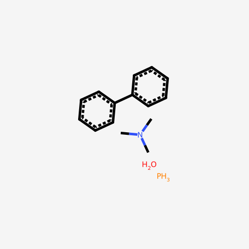 CN(C)C.O.P.c1ccc(-c2ccccc2)cc1